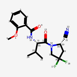 COc1ccccc1C(=O)N[C@H](C(=O)N1CC(F)(F)C[C@H]1C#N)C(C)C